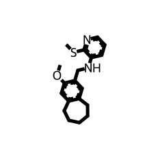 COc1cc2c(cc1CNc1cccnc1SC)CCCCC2